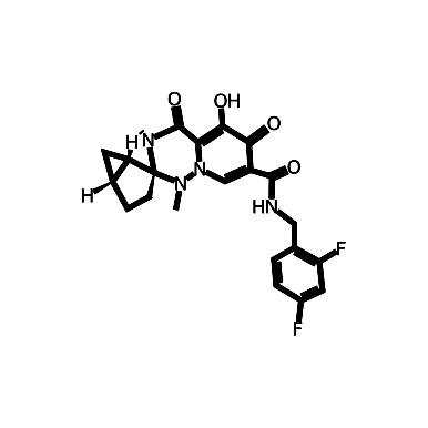 CN1C(=O)c2c(O)c(=O)c(C(=O)NCc3ccc(F)cc3F)cn2N(C)[C@@]12CC[C@@H]1C[C@@H]12